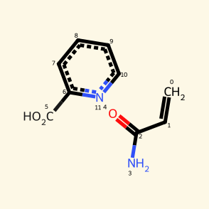 C=CC(N)=O.O=C(O)c1ccccn1